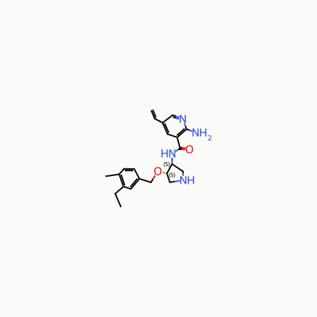 C=Cc1cnc(N)c(C(=O)N[C@H]2CNC[C@@H]2OCc2ccc(C)c(CC)c2)c1